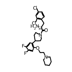 N[C@H](Cc1ccc(Cl)cc1Cl)C(=O)N1CCC(c2cc(F)c(F)cc2OCCN2CCCCC2)CC1